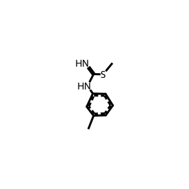 CSC(=N)Nc1cccc(C)c1